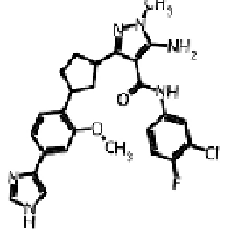 COc1cc(-c2c[nH]cn2)ccc1C1CCC(c2nn(C)c(N)c2C(=O)Nc2ccc(F)c(Cl)c2)C1